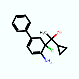 CC(O)(C1CC1)C1(Cl)CC(c2ccccc2)=CC=C1N